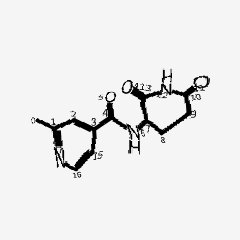 Cc1cc(C(=O)NC2CCC(=O)NC2=O)ccn1